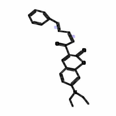 CCN(CC)c1ccc2cc(C(=O)/C=C\C=C\c3ccccc3)c(=O)oc2c1